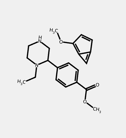 CCN1CCNCC1c1ccc(C(=O)OC)cc1.COc1ccc2cc1-2